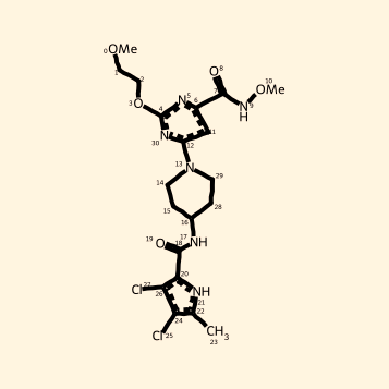 COCCOc1nc(C(=O)NOC)cc(N2CCC(NC(=O)c3[nH]c(C)c(Cl)c3Cl)CC2)n1